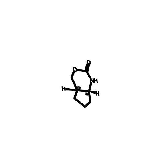 O=C1N[C@@H]2CCC[C@@H]2CO1